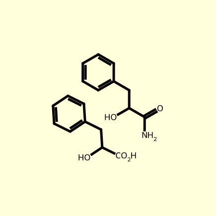 NC(=O)C(O)Cc1ccccc1.O=C(O)C(O)Cc1ccccc1